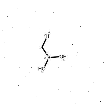 [2H]CB(O)O